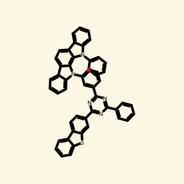 c1ccc(-c2nc(-c3cccc(-n4c5ccccc5c5ccc6c7ccccc7n(-c7ccccc7)c6c54)c3)nc(-c3ccc4c(c3)sc3ccccc34)n2)cc1